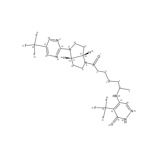 CC(COCCC(=O)N1CC[C@H]2[C@@H]1CCN2c1ncc(C(F)(F)F)cn1)Nc1cn[nH]c(=O)c1C(F)(F)F